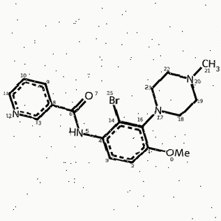 COc1ccc(NC(=O)c2cccnc2)c(Br)c1N1CCN(C)CC1